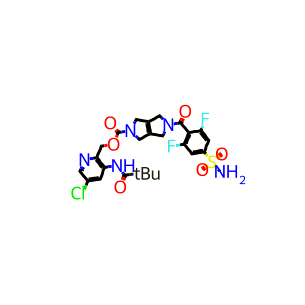 CC(C)(C)C(=O)Nc1cc(Cl)cnc1COC(=O)N1CC2=C(C1)CN(C(=O)c1c(F)cc(S(N)(=O)=O)cc1F)C2